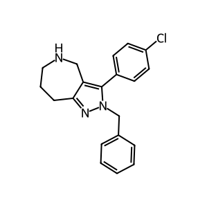 Clc1ccc(-c2c3c(nn2Cc2ccccc2)CCCNC3)cc1